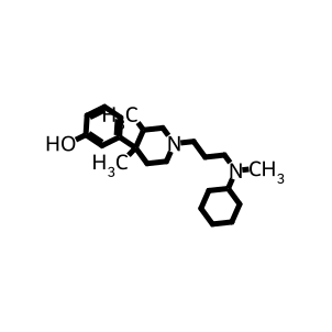 CC1CN(CCCN(C)C2CCCCC2)CCC1(C)c1cccc(O)c1